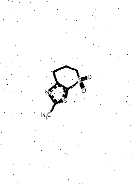 Cc1nc2c(s1)S(=O)(=O)CCC2